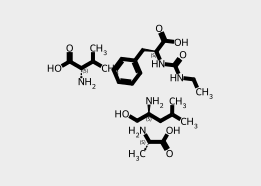 CC(C)C[C@H](N)CO.CC(C)[C@H](N)C(=O)O.CCNC(=O)N[C@@H](Cc1ccccc1)C(=O)O.C[C@H](N)C(=O)O